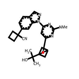 CNc1nc(N2CC3(C(C)(C)O)CC2C3)cc(-n2ncc3ccc(C4(C#N)CCC4)cc32)n1